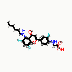 CCCCCCNc1c(F)cc(F)c2oc(-c3ccc(NCC(=O)O)c(F)c3)cc(=O)c12